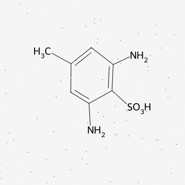 Cc1cc(N)c(S(=O)(=O)O)c(N)c1